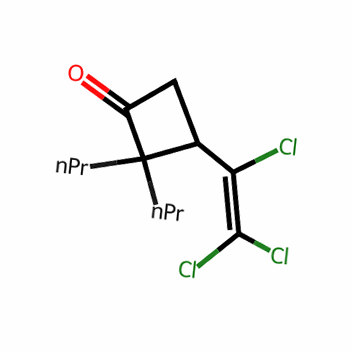 CCCC1(CCC)C(=O)CC1C(Cl)=C(Cl)Cl